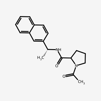 CC(=O)N1CCCC1C(=O)N[C@H](C)c1ccc2ccccc2c1